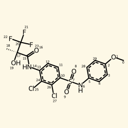 COc1ccc(NS(=O)(=O)c2ccc(NC(=O)[C@@](C)(O)C(F)(F)F)c(Cl)c2Cl)cc1